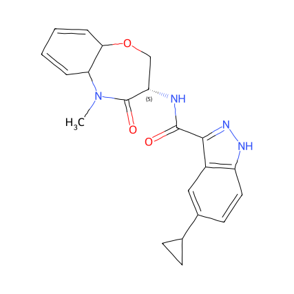 CN1C(=O)[C@@H](NC(=O)c2n[nH]c3ccc(C4CC4)cc23)COC2C=CC=CC21